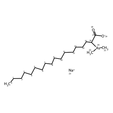 CCCCCCCCCCCCCCCCC(C(=O)[O-])[As](C)C.[Na+]